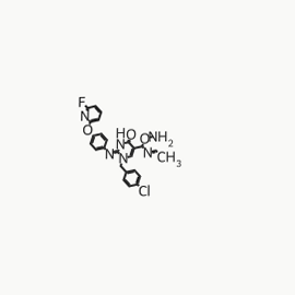 C/C=N/C(ON)c1cn(Cc2ccc(Cl)cc2)/c(=N/c2ccc(Oc3cccc(F)n3)cc2)[nH]c1=O